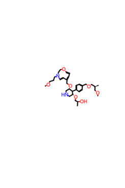 COCCCN1/C=C/C(CO[C@H]2CNC[C@@H](OCC(C)O)C2c2ccc(COC[C@@H](C)COC)cc2)=C\C=C\OCC1